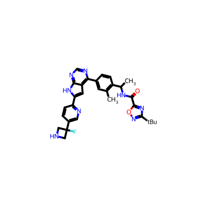 Cc1cc(-c2ncnc3[nH]c(-c4ccc(C5(F)CNC5)cn4)cc23)ccc1C(C)NC(=O)c1nc(C(C)(C)C)no1